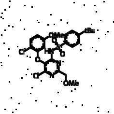 COCc1nc(Cl)c(Oc2cc(OC)ccc2Cl)c(NS(=O)(=O)c2ccc(C(C)(C)C)cc2)n1